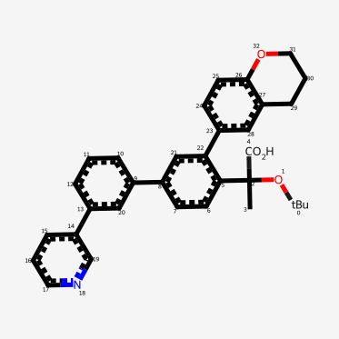 CC(C)(C)OC(C)(C(=O)O)c1ccc(-c2cccc(-c3cccnc3)c2)cc1-c1ccc2c(c1)CCCO2